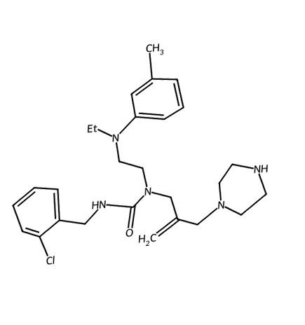 C=C(CN1CCNCC1)CN(CCN(CC)c1cccc(C)c1)C(=O)NCc1ccccc1Cl